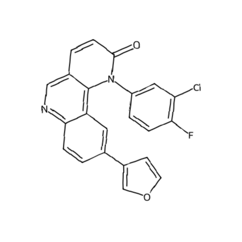 O=c1ccc2cnc3ccc(-c4ccoc4)cc3c2n1-c1ccc(F)c(Cl)c1